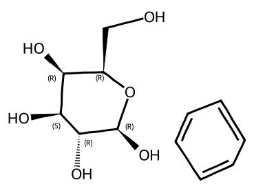 OC[C@H]1O[C@@H](O)[C@H](O)[C@@H](O)[C@H]1O.c1ccccc1